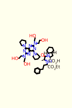 CCOC(=O)[C@H](CCc1ccccc1)N[C@@H](C)C(=O)N1[C@H](C(=O)O)C[C@H]2CCCC[C@@H]21.OCCN(CCO)c1nc(N2CCCCC2)c2nc(N(CCO)CCO)nc(N3CCCCC3)c2n1